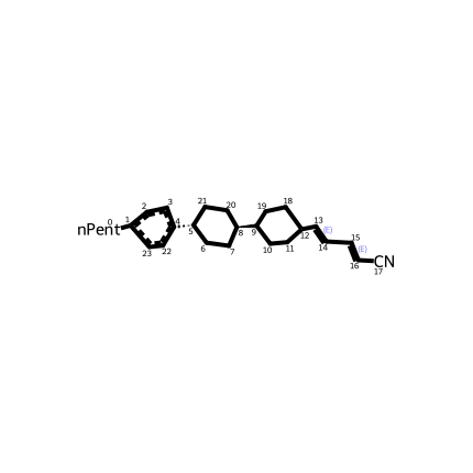 CCCCCc1ccc([C@H]2CC[C@H](C3CCC(/C=C/C=C/C#N)CC3)CC2)cc1